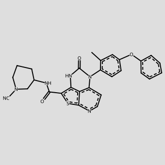 Cc1cc(Oc2ccccc2)ccc1N1C(=O)Nc2c(C(=O)NC3CCCN(C#N)C3)sc3nccc1c23